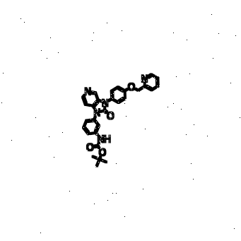 CC(C)(C)OC(=O)Nc1cccc(-n2c(=O)n(-c3ccc(OCc4ccccn4)cc3)c3cnccc32)c1